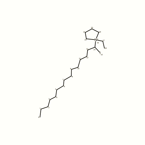 CCCCCCCCCCCCCCC(I)[N+]1(CC)CCCC1